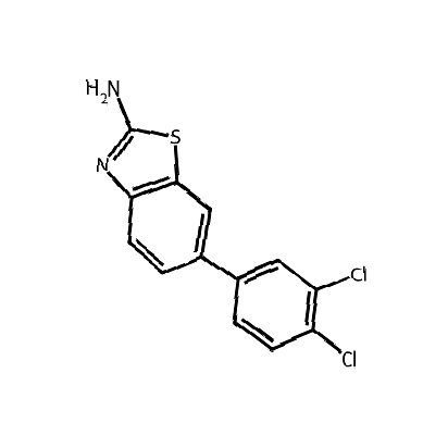 Nc1nc2ccc(-c3ccc(Cl)c(Cl)c3)cc2s1